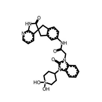 O=C(Cn1c(=O)n(C2CCS(O)(O)CC2)c2ccccc21)Nc1ccc2c(c1)CC1(C2)C(=O)Nc2ncccc21